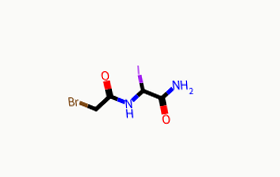 NC(=O)C(I)NC(=O)CBr